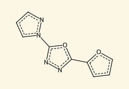 c1coc(-c2nnc(-n3cccn3)o2)c1